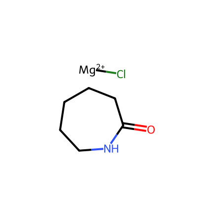 O=C1CCCCCN1.[Mg+2][Cl]